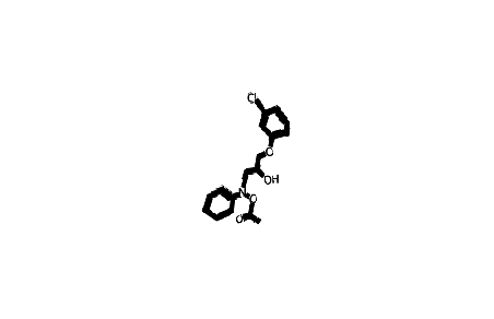 CC(=O)ON(CC(O)COc1cccc(Cl)c1)c1ccccc1